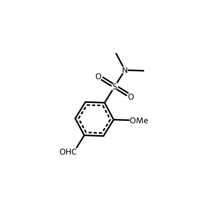 COc1cc(C=O)ccc1S(=O)(=O)N(C)C